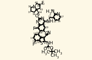 CC(C)(C)OC(=O)Nc1sc2c(F)ccc(-c3c(Cl)cc4c(NCc5cccnc5N)nc(OC[C@@]56CCCN5C[C@H](F)C6)nc4c3F)c2c1C#N